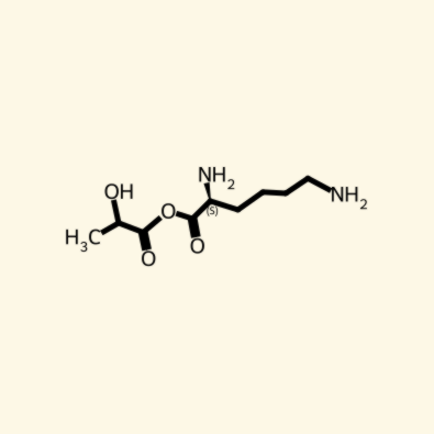 CC(O)C(=O)OC(=O)[C@@H](N)CCCCN